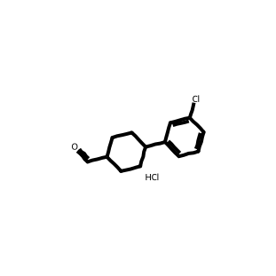 Cl.O=CC1CCC(c2cccc(Cl)c2)CC1